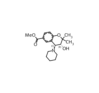 COC(=O)c1ccc2c(c1)[C@H](N1CCCCC1)[C@@H](O)C(C)(C)O2